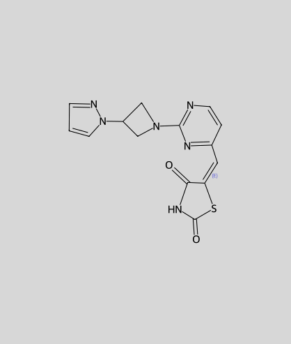 O=C1NC(=O)/C(=C\c2ccnc(N3CC(n4cccn4)C3)n2)S1